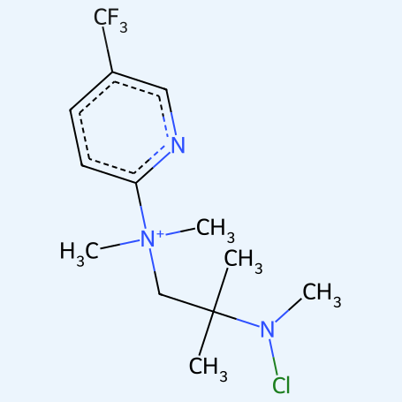 CN(Cl)C(C)(C)C[N+](C)(C)c1ccc(C(F)(F)F)cn1